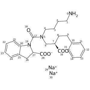 NCCCCN(C[C@@H](CCc1ccccc1)C(=O)[O-])C(=O)N1c2ccccc2CC1C(=O)[O-].[Na+].[Na+]